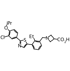 CCc1c(CN2CC(C(=O)O)C2)cccc1-c1cnc(-c2ccc(OC(C)C)c(Cl)c2)s1